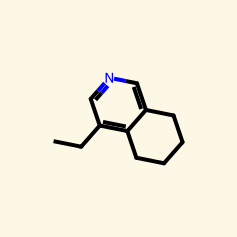 CCc1cncc2c1CCCC2